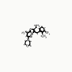 Cc1c(Cc2c(CN)nc3c(N)cc(N4CCOCC4)nn23)cccc1C(F)(F)F